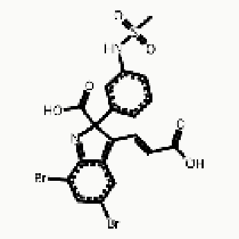 CS(=O)(=O)Nc1cccc(C2(C(=O)O)N=c3c(Br)cc(Br)cc3=C2C=CC(=O)O)c1